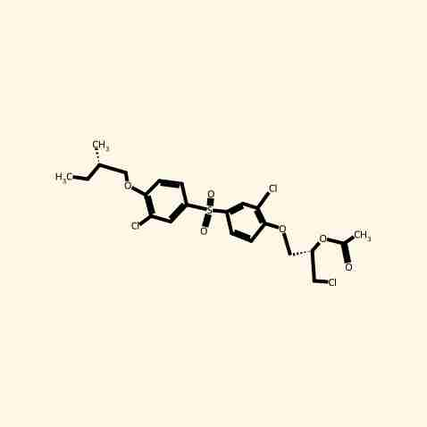 CC[C@H](C)COc1ccc(S(=O)(=O)c2ccc(OC[C@@H](CCl)OC(C)=O)c(Cl)c2)cc1Cl